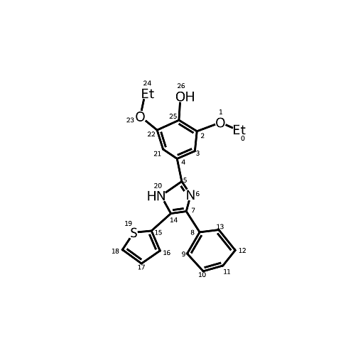 CCOc1cc(-c2nc(-c3ccccc3)c(-c3cccs3)[nH]2)cc(OCC)c1O